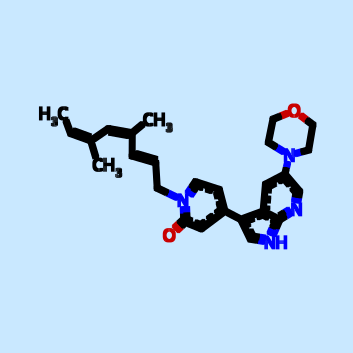 C\C=C(C)/C=C(C)\C=C\Cn1ccc(-c2c[nH]c3ncc(N4CCOCC4)cc23)cc1=O